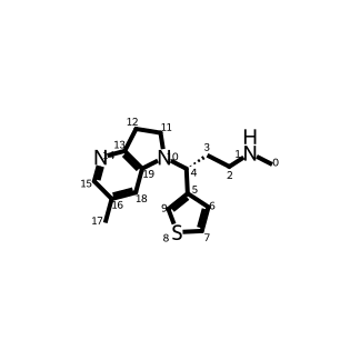 CNCC[C@H](c1ccsc1)N1CCc2ncc(C)cc21